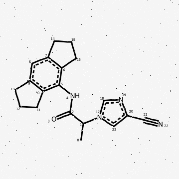 C[C](C(=O)Nc1c2c(cc3c1CCC3)CCC2)n1cnc(C#N)c1